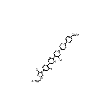 COc1ccc(N2CCN(N3CCN(c4ncc(-c5ccc(N6C[C@H](CNC(C)=O)OC6=O)cc5F)cn4)C(C(C)=O)C3)CC2)cc1